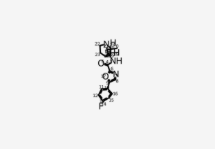 C[C@H]1[C@H](NC(=O)c2ncc(-c3ccc(F)cc3)o2)C2CCN1CC2